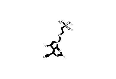 C[Si](C)(C)CCOCn1cc(Br)c2c(C#N)nc(Cl)nc21